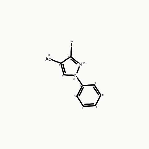 CC(=O)c1cn(-c2ccccc2)nc1I